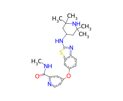 CNC(=O)c1cc(Oc2ccc3nc(NC4CC(C)(C)NC(C)(C)C4)sc3c2)ccn1